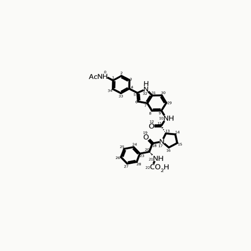 CC(=O)Nc1ccc(-c2cc3cc(NC(=O)[C@@H]4CCCN4C(=O)[C@H](NC(=O)O)c4ccccc4)ccc3[nH]2)cc1